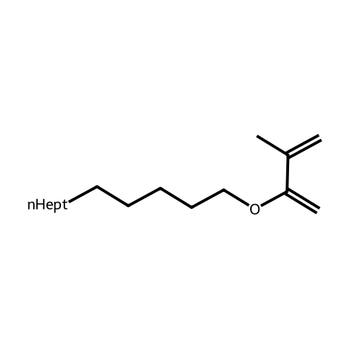 C=C(C)C(=C)OCCCCCCCCCCCC